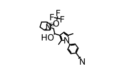 Cc1cc(C(O)CN2C3CCC2[C@@H](OC(F)(F)F)C3)c(C)n1-c1ccc(C#N)cc1